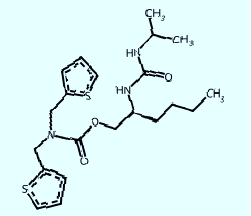 CCCC[C@@H](COC(=O)N(Cc1cccs1)Cc1cccs1)NC(=O)NC(C)C